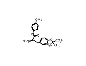 CCCCCCCN(Cc1ccc(OC(C)(C)C(=O)O)cc1)C(=O)Nc1ccc(OC)cc1